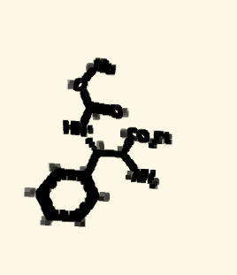 CCOC(=O)[C@@H](N)[C@@H](NC(=O)OC(C)(C)C)c1ccccc1